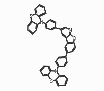 c1ccc2c(c1)Sc1ccccc1N2c1ccc(-c2ccc3oc4ncc(-c5ccc(N6c7ccccc7Sc7ccccc76)cc5)cc4c3c2)cc1